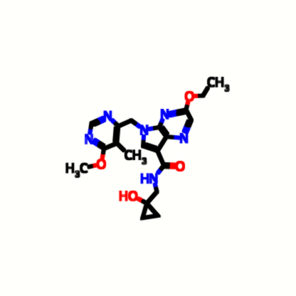 CCOc1cnc2c(C(=O)NCC3(O)CC3)cn(Cc3ncnc(OC)c3C)c2n1